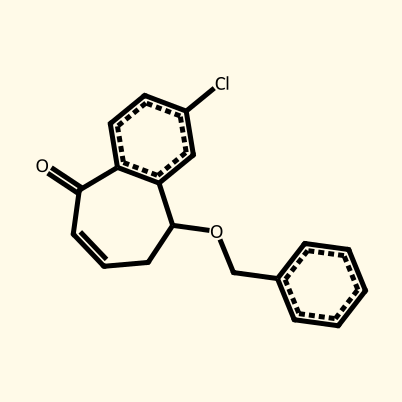 O=C1C=CCC(OCc2ccccc2)c2cc(Cl)ccc21